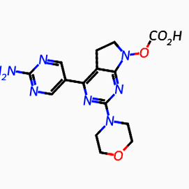 Nc1ncc(-c2nc(N3CCOCC3)nc3c2CCN3OC(=O)O)cn1